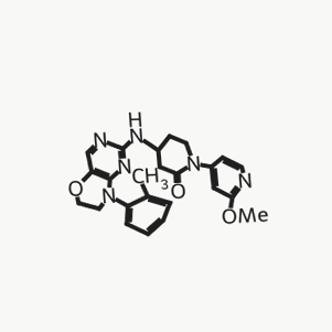 COc1cc(N2CCC(Nc3ncc4c(n3)N(c3ccccc3C)CCO4)CC2=O)ccn1